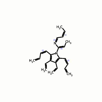 C=C/C=C\c1c(C=C)c(C=C)c(/C=C\C=C)n1C(=C/C)/N=C\C=C/C